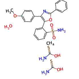 C.COc1ccc(-c2nc(-c3ccccc3)oc2-c2ccccc2S(N)(=O)=O)cc1.NC(O)=S.NC(O)=S.O